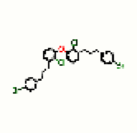 Clc1c(CCCc2ccc(Br)cc2)cccc1Oc1cccc(CCCc2ccc(Br)cc2)c1Cl